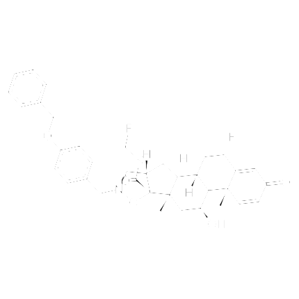 C[C@]12C=CC(=O)C=C1[C@@H](F)C[C@H]1[C@@H]3C[C@H]4CN(Cc5ccc(OCc6ccccc6)cc5)O[C@@]4(C(=O)SCF)[C@@]3(C)C[C@H](O)[C@@]12F